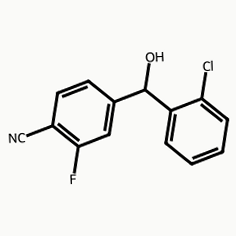 N#Cc1ccc(C(O)c2ccccc2Cl)cc1F